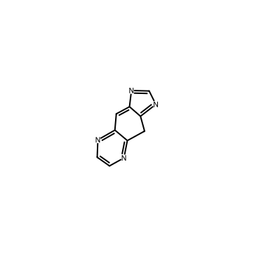 C1=NC2=Cc3nccnc3CC2=N1